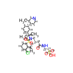 Cc1cnccc1-c1cccc(C(C)(C)N(CCCC(=O)NCCS(=O)(=O)O)S(=O)(=O)c2cccc(Cl)c2C)c1